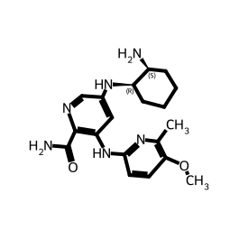 COc1ccc(Nc2cc(N[C@@H]3CCCC[C@@H]3N)cnc2C(N)=O)nc1C